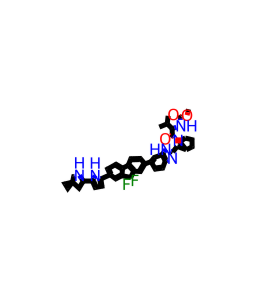 COC(=O)NC(C(=O)N1C2CCC(C2)C1c1nc2ccc(-c3ccc4c(c3)C(F)(F)c3cc(-c5ccc(C6CC7(CC7)CN6)[nH]5)ccc3-4)cc2[nH]1)C(C)C